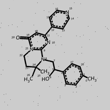 Cc1ccc(C(O)CN2c3nc(-c4ccncc4)cc(=O)n3CCC2(C)C)cc1